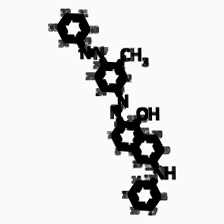 Cc1cc(N=Nc2ccc3cc(Nc4ccccc4)ccc3c2O)ccc1N=Nc1ccccc1